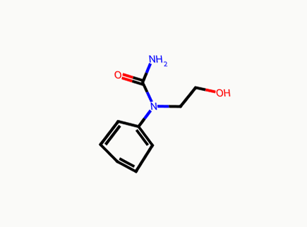 NC(=O)N(CCO)c1ccccc1